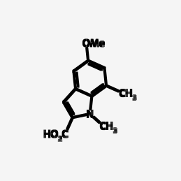 COc1cc(C)c2c(c1)cc(C(=O)O)n2C